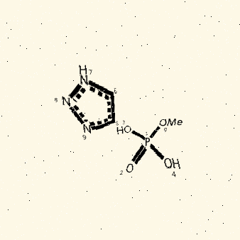 COP(=O)(O)O.c1c[nH]nn1